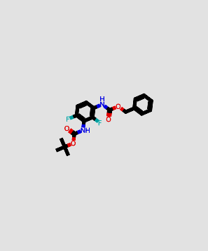 CC(C)(C)OC(=O)Nc1c(F)ccc(NC(=O)OCc2ccccc2)c1F